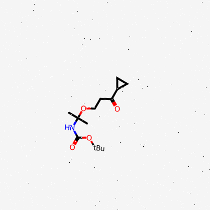 CC(C)(C)OC(=O)NC(C)(C)OCCC(=O)C1CC1